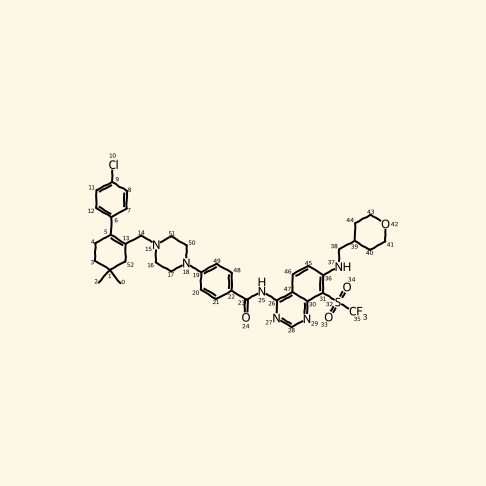 CC1(C)CCC(c2ccc(Cl)cc2)=C(CN2CCN(c3ccc(C(=O)Nc4ncnc5c(S(=O)(=O)C(F)(F)F)c(NCC6CCOCC6)ccc45)cc3)CC2)C1